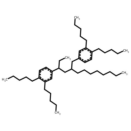 CCCCCCCCC([CH]C(CC)c1ccc(CCCCC)c(CCCCC)c1)Cc1ccc(CCCCC)c(CCCCC)c1